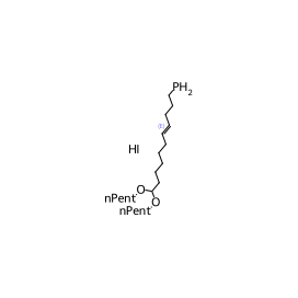 CCCCCOC(CCCCC/C=C/CCCP)OCCCCC.I